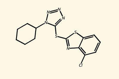 Clc1cccc2sc(Sc3nnnn3C3CCCCC3)nc12